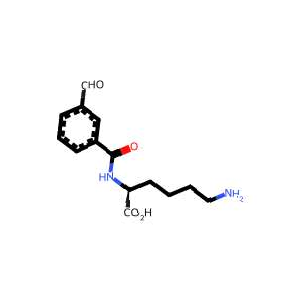 NCCCC[C@H](NC(=O)c1cccc(C=O)c1)C(=O)O